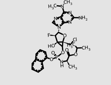 CC(C)OC(=O)[C@@H](C)NP(=O)(Oc1cccc2ccccc12)OC1[C@@]2(CCl)O[C@@H](n3cnc4c(N(C)C)nc(N)nc43)[C@H](F)[C@@]12O